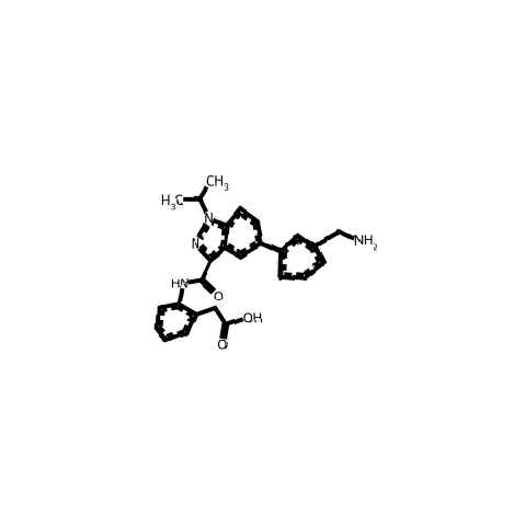 CC(C)n1nc(C(=O)Nc2ccccc2CC(=O)O)c2cc(-c3cccc(CN)c3)ccc21